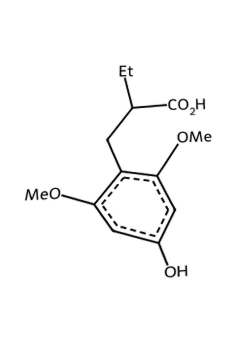 CCC(Cc1c(OC)cc(O)cc1OC)C(=O)O